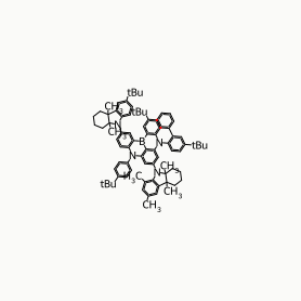 Cc1cc(C)c2c(c1)C1(C)CCCCC1(C)N2c1cc2c3c(c1)N(c1ccc(C(C)(C)C)cc1-c1ccccc1)c1ccc(C(C)(C)C)cc1B3c1cc(N3c4ccc(C(C)(C)C)cc4C4(C)CCCCC34C)ccc1N2c1ccc(C(C)(C)C)cc1